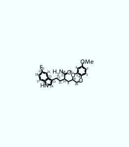 COc1ccc2c(c1)OC(CC(CCc1c[nH]c3ccc(F)cc13)C(N)=O)CO2